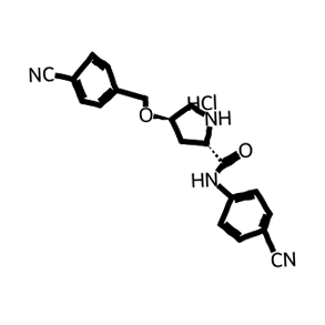 Cl.N#Cc1ccc(CO[C@H]2CN[C@H](C(=O)Nc3ccc(C#N)cc3)C2)cc1